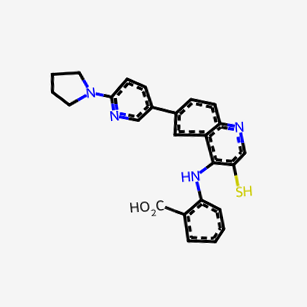 O=C(O)c1ccccc1Nc1c(S)cnc2ccc(-c3ccc(N4CCCC4)nc3)cc12